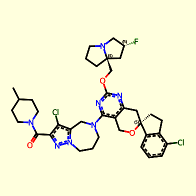 CC1CCN(C(=O)c2nn3c(c2Cl)CN(c2nc(OC[C@@]45CCCN4C[C@H](F)C5)nc4c2CO[C@@]2(CCc5c(Cl)cccc52)C4)CCC3)CC1